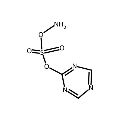 NOS(=O)(=O)Oc1ncncn1